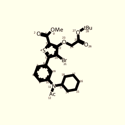 COC(=O)c1sc(-c2cccc(N(C(C)=O)C3CCCCC3)c2)c(Br)c1OCC(=O)OC(C)(C)C